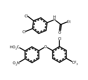 CCC(=O)Nc1ccc(Cl)c(Cl)c1.O=C(O)c1cc(Oc2ccc(C(F)(F)F)cc2Cl)ccc1[N+](=O)[O-]